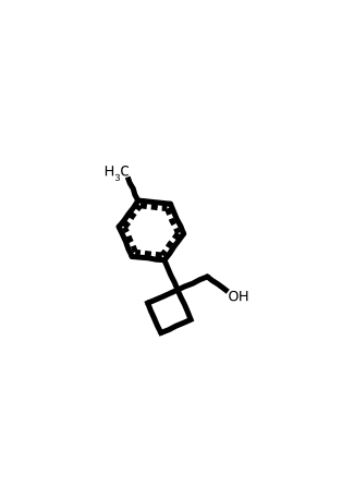 Cc1ccc(C2(CO)CCC2)cc1